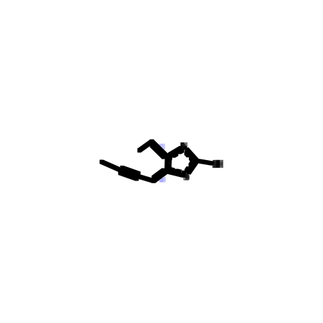 CC#C/C=c1/sc(S)n/c1=C/C